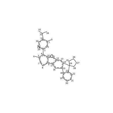 Cc1cc(-c2c(C)ccc3c2oc2cc4c(cc23)-c2ccccc2C42CCCC2)ncc1C(C)C